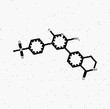 CS(=O)(=O)c1ccc(-c2cc(-c3ccc4c(c3)CCNC4=O)c(N)nc2F)cc1